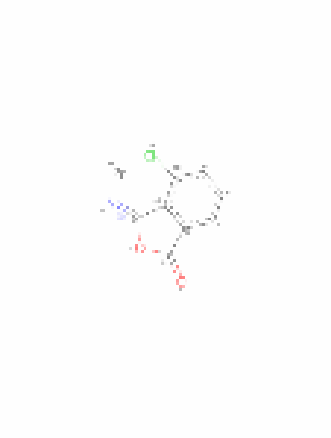 CC(C)/N=C1/OC(=O)c2cccc(Cl)c21